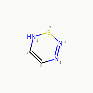 C1=CNSN=N1